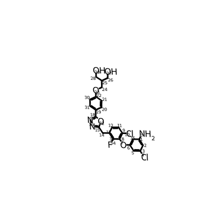 Nc1cc(Cl)cc(Oc2c(Cl)ccc(Cc3nnc(-c4ccc(OCC(CO)CO)cc4)o3)c2F)c1